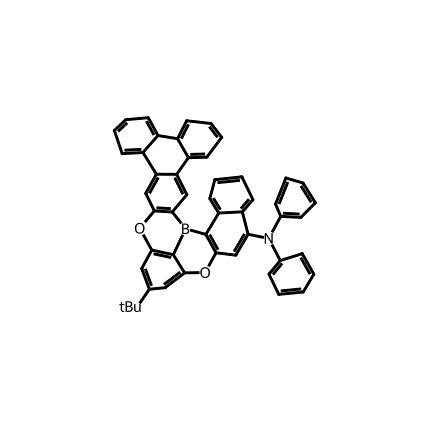 CC(C)(C)c1cc2c3c(c1)Oc1cc(N(c4ccccc4)c4ccccc4)c4ccccc4c1B3c1cc3c4ccccc4c4ccccc4c3cc1O2